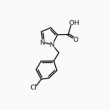 O=C(O)c1ccnn1Cc1ccc(Cl)cc1